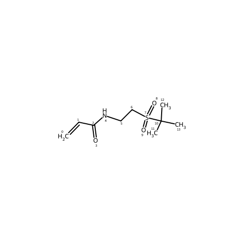 C=CC(=O)NCCS(=O)(=O)C(C)(C)C